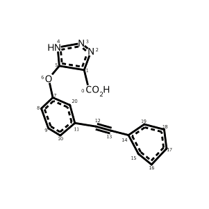 O=C(O)c1nn[nH]c1Oc1cccc(C#Cc2ccccc2)c1